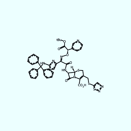 CC(C)(C)OC(=O)[C@H](O/N=C(\C(=O)N[C@@H]1C(=O)N2C(C(=O)O)=C(CSc3cnns3)CS[C@@H]12)c1csc(NC(c2ccccc2)(c2ccccc2)c2ccccc2)n1)c1cccnc1